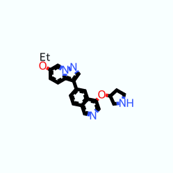 CCOc1ccc2c(-c3ccc4cncc(OC5CCNC5)c4c3)cnn2c1